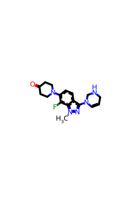 Cn1nc(N2C=CCNC2)c2ccc(N3CCC(=O)CC3)c(F)c21